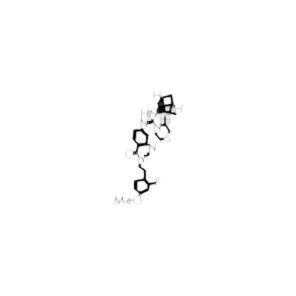 COc1ccc(CCn2cnc3cc(N=C(N[C@H]4C[C@H]5C[C@H]([C@H]4C)C5(C)C)N4CCSCC4)ccc3c2=O)c(F)c1